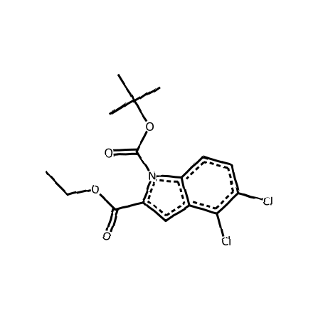 CCOC(=O)c1cc2c(Cl)c(Cl)ccc2n1C(=O)OC(C)(C)C